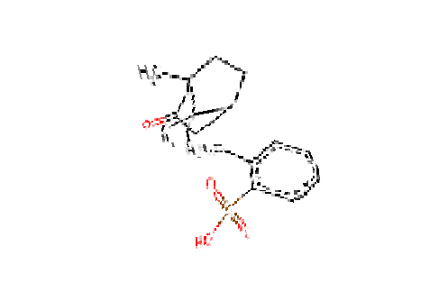 CC12CCC(CC1=O)C2(C)C.Cc1ccccc1S(=O)(=O)O